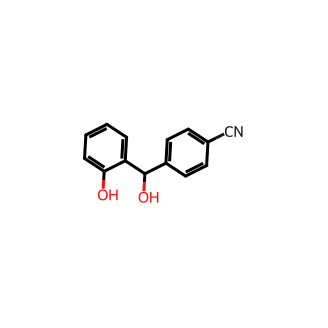 N#Cc1ccc(C(O)c2ccccc2O)cc1